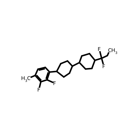 CCC(F)(F)C1CCC(C2CCC(c3ccc(C)c(F)c3F)CC2)CC1